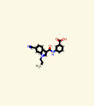 C=CCn1cc(C(=O)Nc2cccc(C(=O)O)c2)c2ccc(C#N)cc21